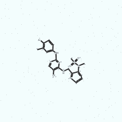 CC(=O)c1ccc(Nc2ncc(C(F)(F)F)c(NCc3ncccc3N(C)S(C)(=O)=O)n2)cc1C